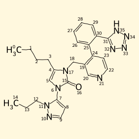 CCCCc1cn(-c2ccnn2CCC)c(=O)n1Cc1cnccc1-c1ccccc1-c1nnn[nH]1